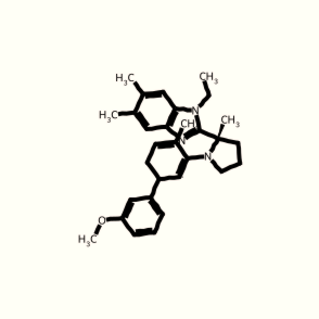 CCn1c([C@]2(C)CCCN2C2=[C]C(c3cccc(OC)c3)CC=C2C)nc2cc(C)c(C)cc21